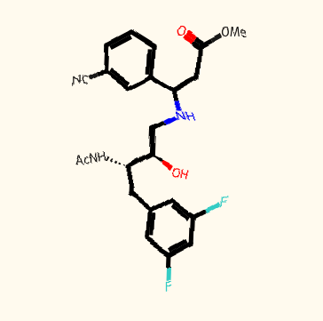 COC(=O)CC(NC[C@@H](O)[C@H](Cc1cc(F)cc(F)c1)NC(C)=O)c1cccc(C#N)c1